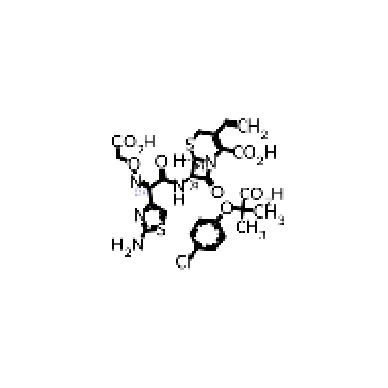 C=CC1=C(C(=O)O)N2C(=O)[C@@H](NC(=O)/C(=N\OCC(=O)O)c3csc(N)n3)[C@H]2SC1.CC(C)(Oc1ccc(Cl)cc1)C(=O)O